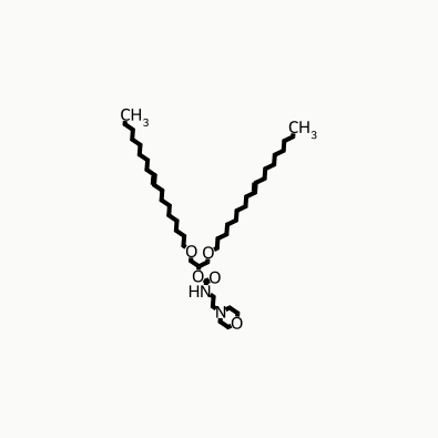 CCCCCCCCC=CCCCCCCCCOCC(COCCCCCCCCC=CCCCCCCCC)OC(=O)NCCN1CCOCC1